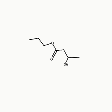 CCCOC(=O)CC(C)S